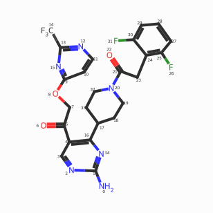 Nc1ncc(C(=O)COc2ccnc(C(F)(F)F)n2)c(C2CCN(C(=O)Cc3c(F)cccc3F)CC2)n1